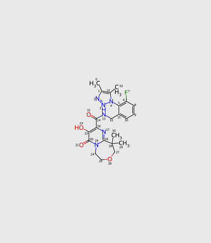 Cc1nnn(-c2c(F)cccc2CNC(=O)c2nc3n(c(=O)c2O)CCOCC3(C)C)c1C